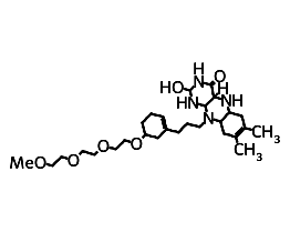 COCCOCCOCCOC1CCC=C(CCCN2C3CC(C)=C(C)CC3N[C@H]3C(=O)NC(O)NC32)C1